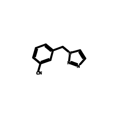 N#Cc1cccc(Cn2ccnn2)c1